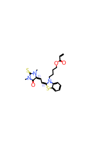 C=CC(=O)OCCCCN1/C(=C\C=C2/C(=O)N(C)C(=S)N2C)Sc2ccccc21